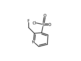 O=S(=O)(Cl)c1cccnc1CF